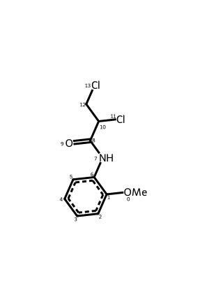 COc1ccccc1NC(=O)C(Cl)CCl